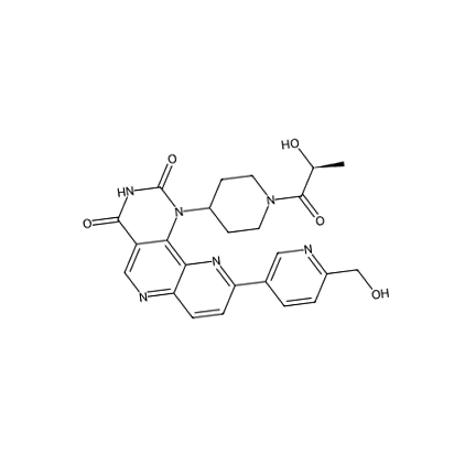 C[C@H](O)C(=O)N1CCC(n2c(=O)[nH]c(=O)c3cnc4ccc(-c5ccc(CO)nc5)nc4c32)CC1